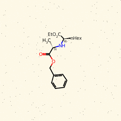 CCCCCC[C@@H](N[C@@H](C)C(=O)OCc1ccccc1)C(=O)OCC